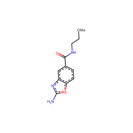 COCCNC(=O)c1ccc2oc(N)nc2c1